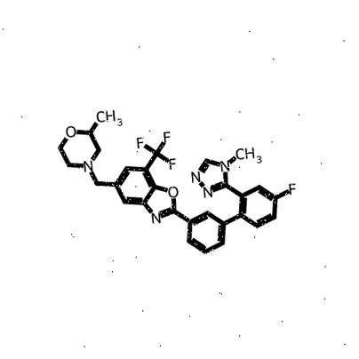 CC1CN(Cc2cc(C(F)(F)F)c3oc(-c4cccc(-c5ccc(F)cc5-c5nncn5C)c4)nc3c2)CCO1